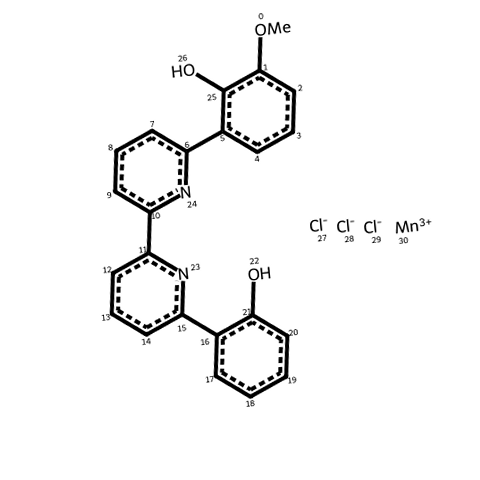 COc1cccc(-c2cccc(-c3cccc(-c4ccccc4O)n3)n2)c1O.[Cl-].[Cl-].[Cl-].[Mn+3]